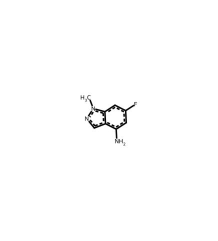 Cn1ncc2c(N)cc(F)cc21